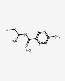 Cc1ccc(C(=O)NC(N)CF)cc1.Cl